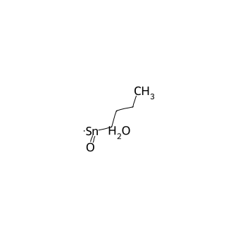 CCC[CH2][Sn]=[O].O